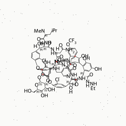 CCNNC(=O)[C@@H]1NC(=O)[C@H]2NC(=O)[C@H](NC(=O)[C@@H]3NC(=O)[C@H](CC(N)=O)NC(=O)[C@H](NC(=O)[C@@H](CC(C)C)NC)[C@H](O)c4ccc(c(Cl)c4)Oc4cc3cc(c4O[C@@H]3O[C@H](CO)[C@@H](O)[C@H](O)[C@H]3O[C@H]3C[C@](C)(NCc4cncc(C(=O)Nc5cccc(OC(F)(F)F)c5)c4)[C@H](O)[C@H](C)O3)Oc3ccc(cc3Cl)[C@H]2O)c2ccc(O)c(c2)-c2c(O)cc(O)cc21